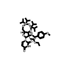 CCOC(=O)C[C@@]1(SCc2ccc(OC)cc2)[C@@H]2O[Si](C(C)C)(C(C)C)O[Si](C(C)C)(C(C)C)OC[C@H]2O[C@H]1n1ccc(=O)[nH]c1=O